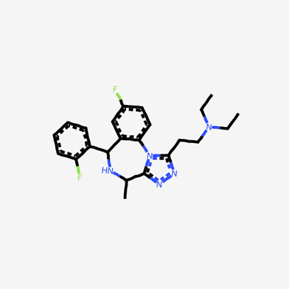 CCN(CC)CCc1nnc2n1-c1ccc(F)cc1C(c1ccccc1F)NC2C